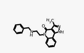 Cc1n[nH]c2c1c(=O)n(CCNCc1ccccc1)c1ccccc21